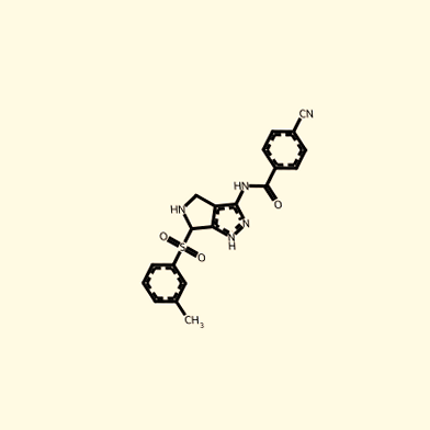 Cc1cccc(S(=O)(=O)C2NCc3c(NC(=O)c4ccc(C#N)cc4)n[nH]c32)c1